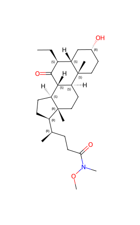 CC[C@@H]1C(=O)[C@@H]2[C@H](CC[C@]3(C)[C@@H]([C@H](C)CCC(=O)N(C)OC)CC[C@@H]23)[C@@]2(C)CC[C@@H](O)C[C@@H]12